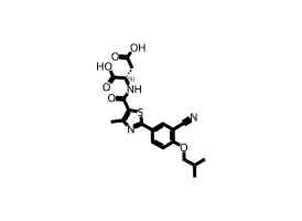 Cc1nc(-c2ccc(OCC(C)C)c(C#N)c2)sc1C(=O)N[C@@H](CC(=O)O)C(=O)O